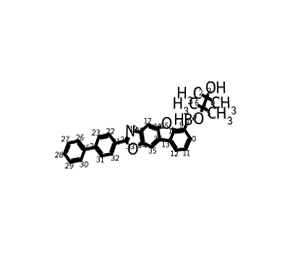 CC(C)(O)C(C)(C)OBc1cccc2c1oc1cc3nc(-c4ccc(-c5ccccc5)cc4)oc3cc12